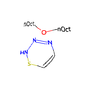 C1=CSNN=N1.CCCCCCCCOCCCCCCCC